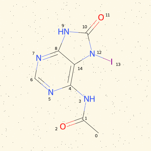 CC(=O)Nc1ncnc2[nH]c(=O)n(I)c12